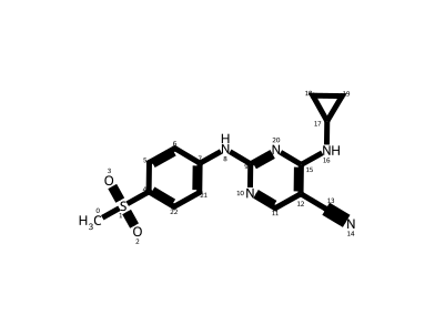 CS(=O)(=O)c1ccc(Nc2ncc(C#N)c(NC3CC3)n2)cc1